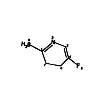 BC1=NC=C(F)CC1